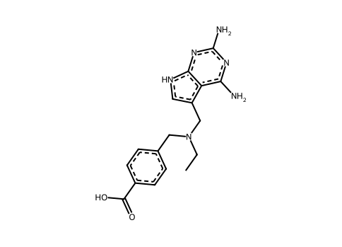 CCN(Cc1ccc(C(=O)O)cc1)Cc1c[nH]c2nc(N)nc(N)c12